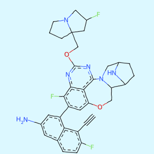 C#Cc1c(F)ccc2cc(N)cc(-c3cc4c5c(nc(OCC67CCCN6CC(F)C7)nc5c3F)N3CC5CCC(N5)C3CO4)c12